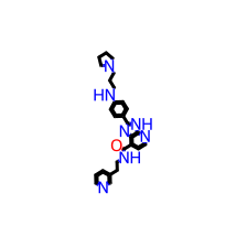 O=C(NCCc1cccnc1)c1ccnc2[nH]c(-c3ccc(NCCCN4CCCC4)cc3)nc12